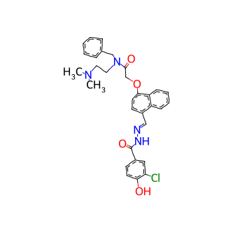 CN(C)CCN(Cc1ccccc1)C(=O)COc1ccc(/C=N/NC(=O)c2ccc(O)c(Cl)c2)c2ccccc12